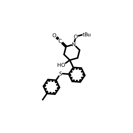 Cc1ccc(Sc2ccccc2C2(O)CCN(OC(C)(C)C)C(=C=O)C2)cc1